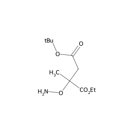 CCOC(=O)C(C)(CC(=O)OC(C)(C)C)ON